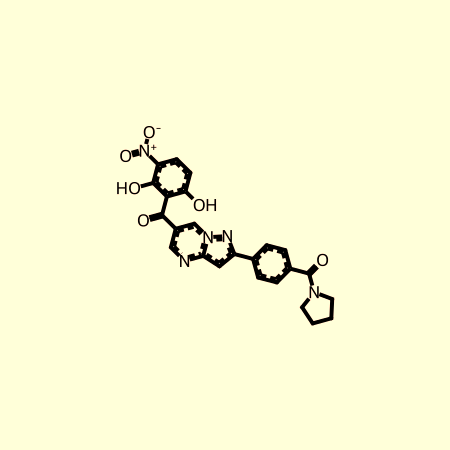 O=C(c1cnc2cc(-c3ccc(C(=O)N4CCCC4)cc3)nn2c1)c1c(O)ccc([N+](=O)[O-])c1O